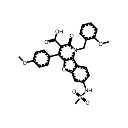 COc1ccc(-c2c(C(=O)O)c(=O)n(Cc3ccccc3OC)c3c2oc2cc(NS(C)(=O)=O)ccc23)cc1